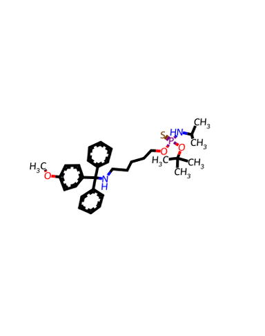 COc1ccc(C(NCCCCCOP(=S)(NC(C)C)OC(C)(C)C)(c2ccccc2)c2ccccc2)cc1